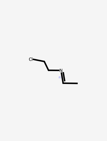 C/C=N/CCCl